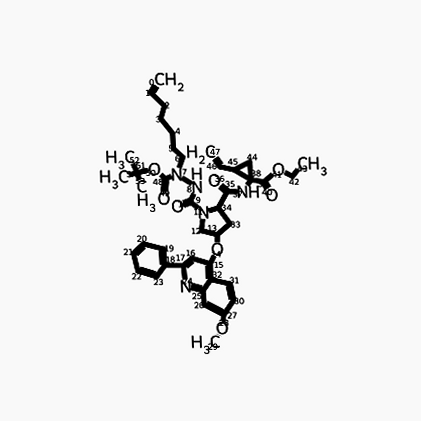 C=CCCCCCN(NC(=O)N1CC(Oc2cc(-c3ccccc3)nc3cc(OC)ccc23)CC1C(=O)NC1(C(=O)OCC)CC1C=C)C(=O)OC(C)(C)C